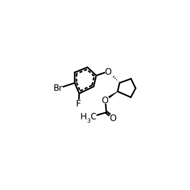 CC(=O)O[C@@H]1CCC[C@H]1Oc1ccc(Br)c(F)c1